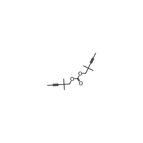 CC#CC(C)(C)COC(=O)OCC(C)(C)C#CC